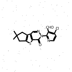 CC1(C)Cc2sc3c(=O)n(-c4nccc(Cl)c4C=O)ncc3c2C1